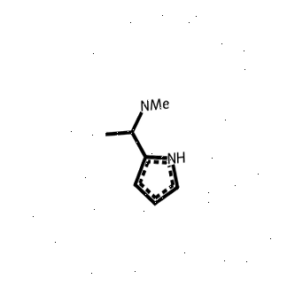 CNC(C)c1ccc[nH]1